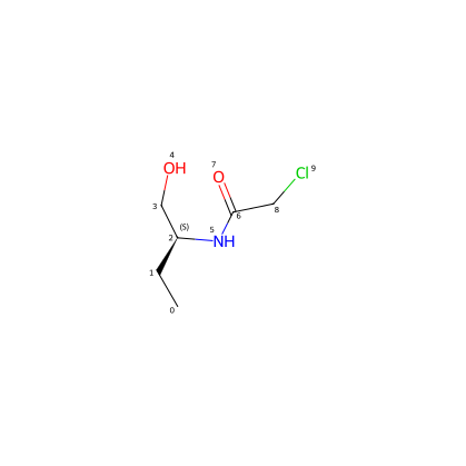 CC[C@@H](CO)NC(=O)CCl